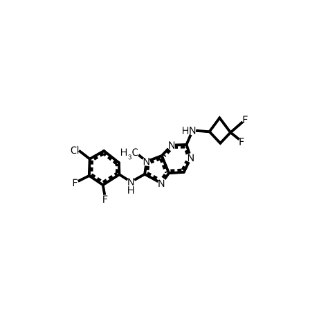 Cn1c(Nc2ccc(Cl)c(F)c2F)nc2cnc(NC3CC(F)(F)C3)nc21